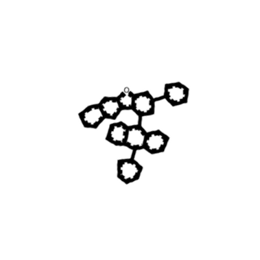 c1ccc(-c2cc(-c3c4ccccc4c(-c4ccccc4)c4ccccc34)c3c(c2)oc2cc4ccccc4cc23)cc1